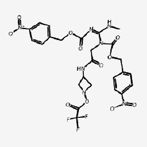 CNC(=NC(=O)OCc1ccc([N+](=O)[O-])cc1)N(CC(=O)NC1CN(OC(=O)C(F)(F)F)C1)C(=O)OCc1ccc([N+](=O)[O-])cc1